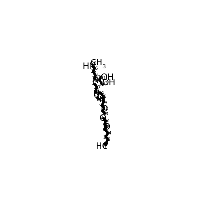 C#CCCCCOCCOCCOCCN1CCN(CCCN(CCCCNC)C(CO)CO)CC1